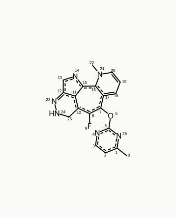 Cc1ccnc(Oc2c(F)c3c4c(cnc-4c4c2=CC=CN4C)=NNC3)n1